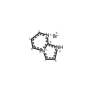 [Br-].c1cnc2[nH]cc[n+]2c1